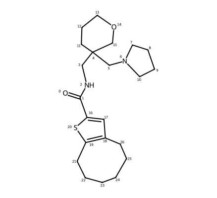 O=C(NCC1(CN2CCCC2)CCCOC1)c1cc2c(s1)CCCCCC2